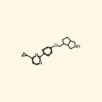 c1cc(C2CC2)nc(-c2ccc(OCC3CCC4CNCC43)cc2)n1